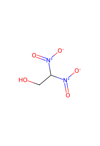 O=[N+]([O-])C(CO)[N+](=O)[O-]